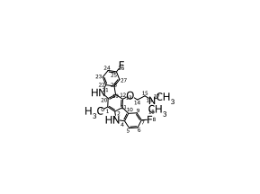 Cc1c2[nH]c3ccc(F)cc3c2c(OCCN(C)C)c2c1[nH]c1ccc(F)cc12